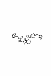 O=C(/C=C/c1ccco1)Nc1nc2c(s1)CCCC2C(=O)N1CCN(Cc2ccsc2)CC1